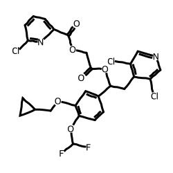 O=C(COC(=O)c1cccc(Cl)n1)OC(Cc1c(Cl)cncc1Cl)c1ccc(OC(F)F)c(OCC2CC2)c1